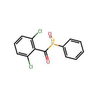 O=C(c1c(Cl)cccc1Cl)[PH](=O)c1ccccc1